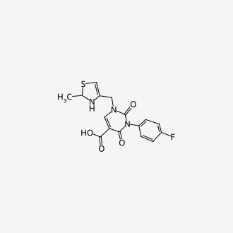 CC1NC(Cn2cc(C(=O)O)c(=O)n(-c3ccc(F)cc3)c2=O)=CS1